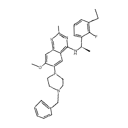 CCc1cccc([C@@H](C)Nc2nc(C)nc3cc(OC)c(P4CCN(Cc5ccccc5)CC4)cc23)c1F